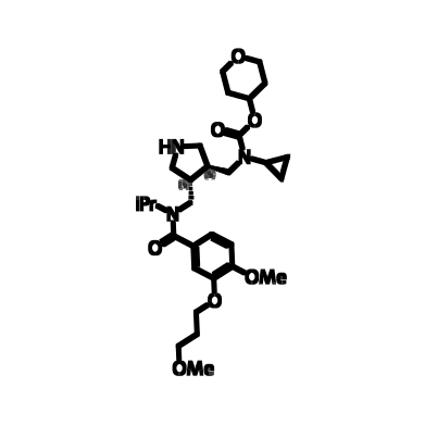 COCCCOc1cc(C(=O)N(C[C@@H]2CNC[C@H]2CN(C(=O)OC2CCOCC2)C2CC2)C(C)C)ccc1OC